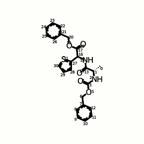 C[C@H](NC(=O)OCc1ccccc1)C(=O)NC(C(=O)OCc1ccccc1)c1cccs1